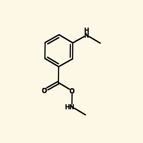 CNOC(=O)c1cccc(NC)c1